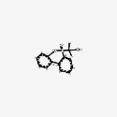 CC(C)(O)P1(=O)Oc2ccccc2-c2ccccc21